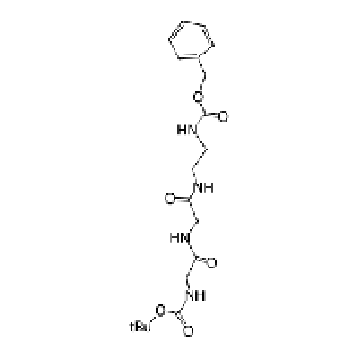 CC(C)(C)OC(=O)NCC(=O)NCC(=O)NCCNC(=O)OCc1ccccc1